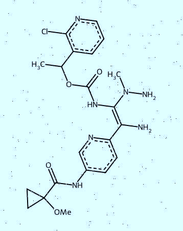 COC1(C(=O)Nc2ccc(/C(N)=C(\NC(=O)OC(C)c3cccnc3Cl)N(C)N)nc2)CC1